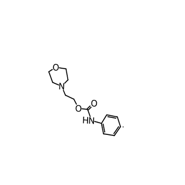 O=C(Nc1cc[c]cc1)OCCN1CCOCC1